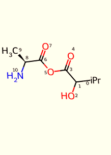 CC(C)C(O)C(=O)OC(=O)[C@H](C)N